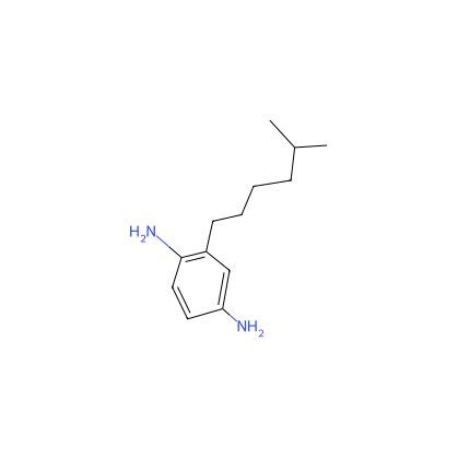 CC(C)CCCCc1cc(N)ccc1N